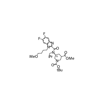 COCCCCn1c(C(=O)N(CC(C)C)[C@H]2CC(C(=O)OC)CN(C(=O)OC(C)(C)C)C2)nc2cc(F)c(F)cc21